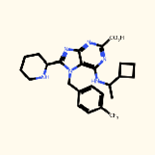 CC(Nc1nc(C(=O)O)nc2nc(C3CCCCN3)n(Cc3ccc(C(F)(F)F)cc3)c12)C1CCC1